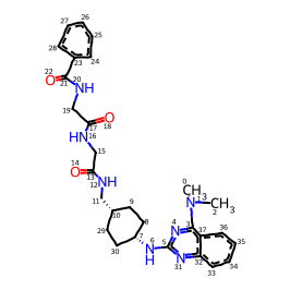 CN(C)c1nc(N[C@H]2CC[C@@H](CNC(=O)CNC(=O)CNC(=O)c3ccccc3)CC2)nc2ccccc12